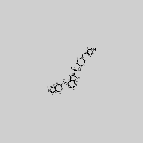 O=C(NC1CCN(Cc2c[nH]cn2)CC1)c1cc2c(Nc3ccc4cn[nH]c4c3)ncnc2s1